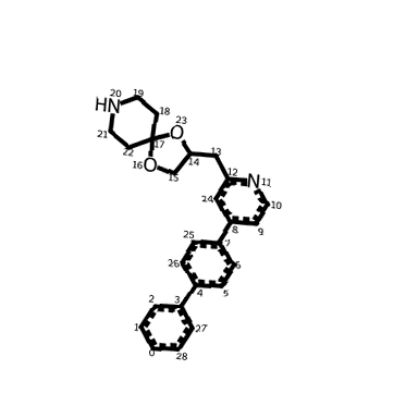 c1ccc(-c2ccc(-c3ccnc(CC4COC5(CCNCC5)O4)c3)cc2)cc1